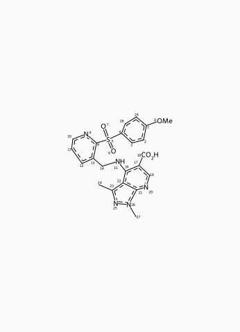 COc1ccc(S(=O)(=O)c2ncccc2CNc2c(C(=O)O)cnc3c2c(C)nn3C)cc1